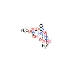 CCOC(=O)[C@@H]1C[C@@H](O)CN1C(=O)COc1cc(C(=O)NC(CCC(=O)O)C(=O)N2CCN(C(=O)OCC)CC2)nc2ccccc12